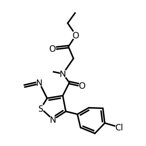 C=Nc1snc(-c2ccc(Cl)cc2)c1C(=O)N(C)CC(=O)OCC